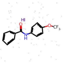 I.O=C(Nc1ccc(OC(F)(F)F)cc1)c1ccccc1